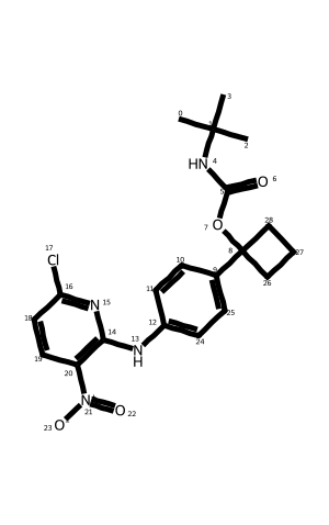 CC(C)(C)NC(=O)OC1(c2ccc(Nc3nc(Cl)ccc3[N+](=O)[O-])cc2)CCC1